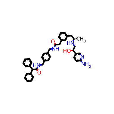 C[C@H](Cc1cccc(CC(=O)NCc2ccc(CNC(=O)C(c3ccccc3)c3ccccc3)cc2)c1)NC[C@H](O)c1ccc(N)nc1